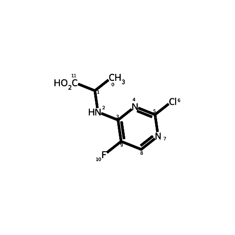 CC(Nc1nc(Cl)ncc1F)C(=O)O